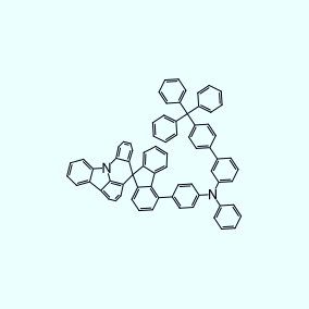 c1ccc(N(c2ccc(-c3cccc4c3-c3ccccc3C43c4ccccc4-n4c5ccccc5c5cccc3c54)cc2)c2cccc(-c3ccc(C(c4ccccc4)(c4ccccc4)c4ccccc4)cc3)c2)cc1